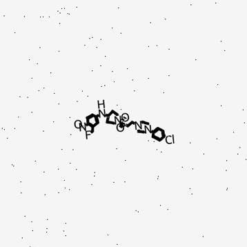 O=Nc1ccc(NC2CCN(S(=O)(=O)CCN3CCN(c4ccc(Cl)cc4)CC3)CC2)cc1CF